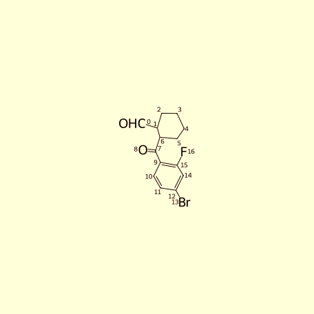 O=CC1CCCCC1C(=O)c1ccc(Br)cc1F